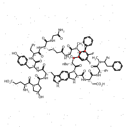 CCCC[C@@H](C(=O)N1CCN[C@@H]1C(=O)N[C@@H](CC(=O)O)C(=O)N[C@H](C(=O)N(C)C(Cc1ccccc1)C(C)=O)C(C)C)N(C)C(=O)[C@H](Cc1ccccc1)N(C)C(=O)[C@H](Cc1cc(F)c(F)c(F)c1)NC(=O)CSC[C@H](NC(=O)[C@H](CC(C)C)NC(=O)[C@H](Cc1ccc(O)cc1)NC(=O)[C@H](Cc1c[nH]c2ccccc12)NC(=O)C1C[C@@H](O)CN1C(=O)[C@@H](N)CCC(=O)O)C(=O)NCC(N)=O